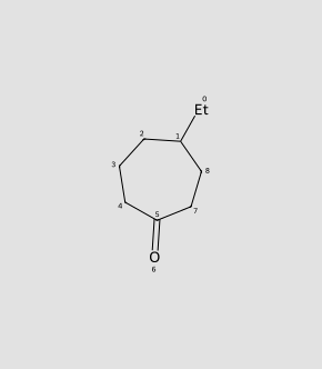 CCC1CCCC(=O)CC1